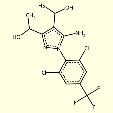 CC(O)c1nn(-c2c(Cl)cc(C(F)(F)F)cc2Cl)c(N)c1C(O)S